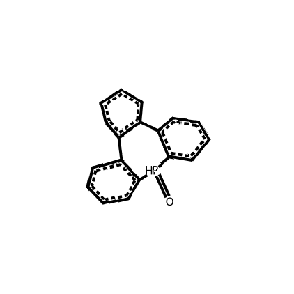 O=[PH]1c2ccccc2-c2ccccc2-c2ccccc21